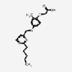 CCCCCc1nccc(CSc2ccc(OCC(=O)O)c(C)c2)n1